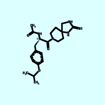 CC(=O)N[C@@H](Cc1ccc(OC(C)C)cc1)C(=O)N1CCC2(CC1)CNC(=N)N2